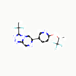 C[C@H](Oc1ccc(-c2cn3c(C(C)(F)F)nnc3cn2)cn1)C(F)(F)F